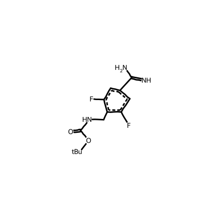 CC(C)(C)OC(=O)NCc1c(F)cc(C(=N)N)cc1F